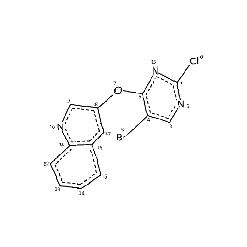 Clc1ncc(Br)c(Oc2cnc3ccccc3c2)n1